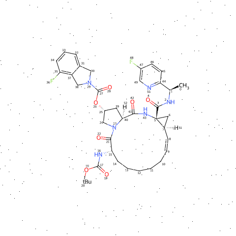 C[C@@H](NC(=O)[C@@]12C[C@H]1/C=C\CCCCC[C@H](NC(=O)OC(C)(C)C)C(=O)N1C[C@H](OC(=O)N3Cc4cccc(F)c4C3)C[C@H]1C(=O)N2)c1ccc(F)cn1